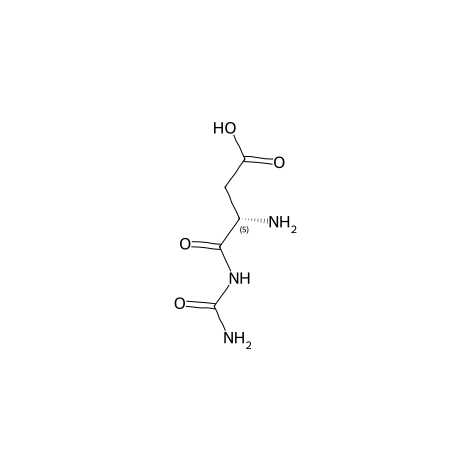 NC(=O)NC(=O)[C@@H](N)CC(=O)O